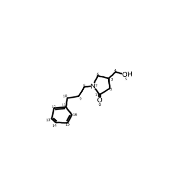 O=C1CC(CO)CN1CCCc1ccccc1